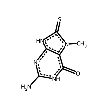 Cn1c(=S)[nH]c2nc(N)[nH]c(=O)c21